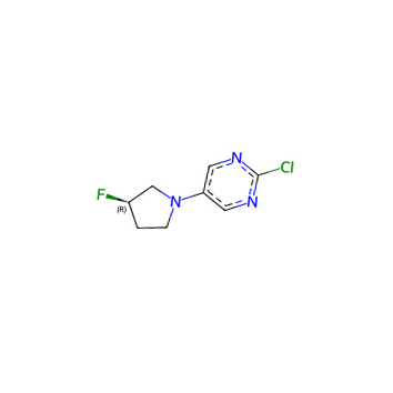 F[C@@H]1CCN(c2cnc(Cl)nc2)C1